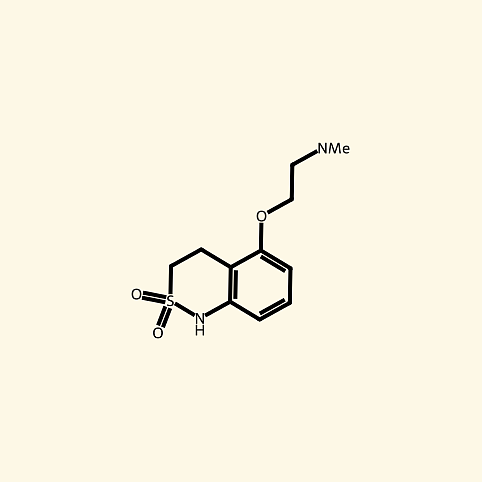 CNCCOc1cccc2c1CCS(=O)(=O)N2